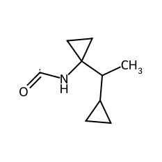 CC(C1CC1)C1(N[C]=O)CC1